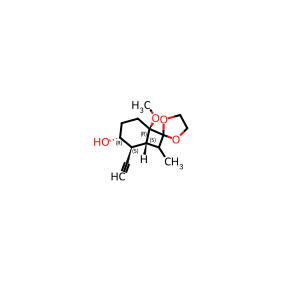 C#C[C@H]1[C@H](O)CC[C@@]2(OC)[C@@H]1C(C)C21OCCO1